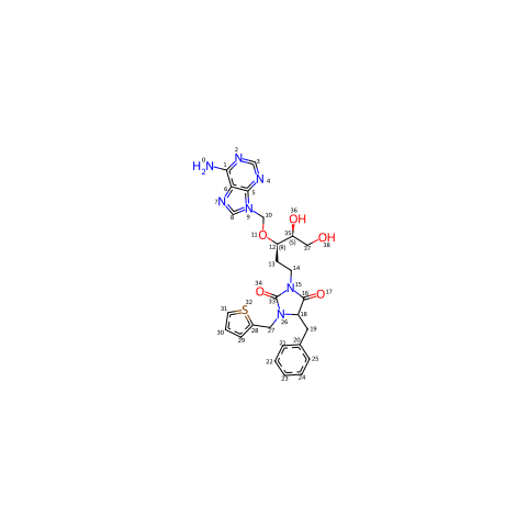 Nc1ncnc2c1ncn2CO[C@H](CCN1C(=O)C(Cc2ccccc2)N(Cc2cccs2)C1=O)[C@@H](O)CO